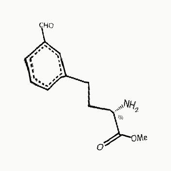 COC(=O)[C@@H](N)CCc1cccc(C=O)c1